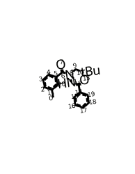 Cc1cccc(C(=O)N(CC(C)(C)C)NC(=O)c2ccccc2)c1